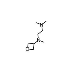 CN(C)CCN(C)C1COC1